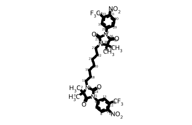 CC1(C)C(=O)N(c2ccc([N+](=O)[O-])c(C(F)(F)F)c2)C(=O)N1CCCCCCCN1C(=O)N(c2ccc([N+](=O)[O-])c(C(F)(F)F)c2)C(=O)C1(C)C